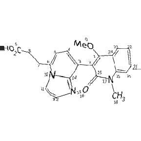 COc1c(-c2ccc(CCC(=O)O)n3ccnc23)c(=O)n(C)c2ccccc12